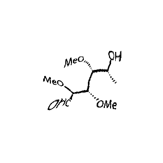 CO[C@@H]([C@H](OC)[C@@H](C=O)OC)[C@@H](C)O